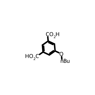 CCCCOc1cc(C(=O)O)cc(C(=O)O)c1